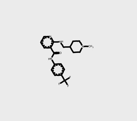 CN1CCC(CNc2ncccc2C(=O)Nc2ccc(C(F)(F)F)cc2)CC1